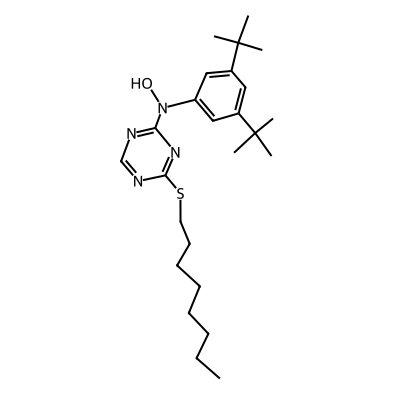 CCCCCCCCSc1ncnc(N(O)c2cc(C(C)(C)C)cc(C(C)(C)C)c2)n1